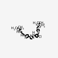 CC(C)OC(=O)NCCCNc1ccc(-c2ccnc(Nc3ccc(Cl)c(CN4CCN(CC(=O)OC(C)(C)C)CC4)c3)n2)cn1